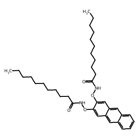 CCCCCCCCCCC(=O)NOc1cc2cc3ccccc3cc2cc1ONC(=O)CCCCCCCCCC